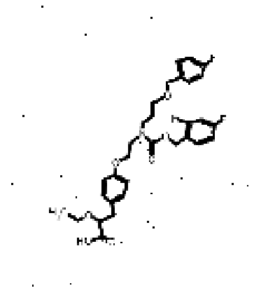 CCOC(Cc1ccc(OCCN(CCCOCc2ccc(F)cc2)C(=O)OCc2ccc(F)cc2F)cc1)C(=O)O